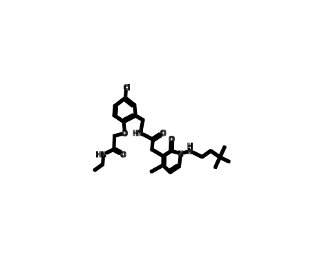 CCNC(=O)COc1ccc(Cl)cc1CNC(=O)Cc1c(C)ccn(NCCC(C)(C)C)c1=O